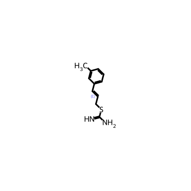 Cc1cccc(/C=C/CSC(=N)N)c1